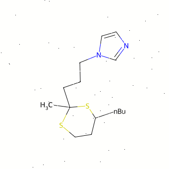 CCCCC1CCSC(C)(CCCn2ccnc2)S1